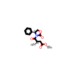 CCC[C@H](CC(=O)OC(C)(C)C)C(=O)N1C(=O)OC[C@@H]1c1ccccc1